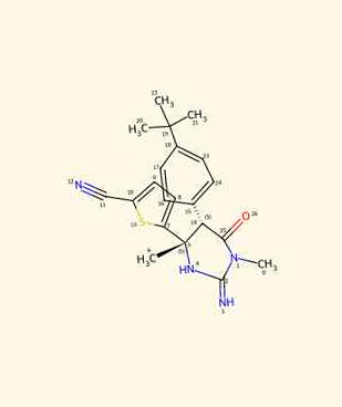 CN1C(=N)N[C@](C)(c2ccc(C#N)s2)[C@H](c2ccc(C(C)(C)C)cc2)C1=O